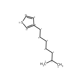 CC(C)CCCCCc1c[c]sc1